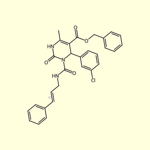 CC1=C(C(=O)OCc2ccccc2)C(c2cccc(Cl)c2)N(C(=O)NC/C=C/c2ccccc2)C(=O)N1